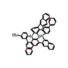 CC(C)(C)c1ccc(N2c3cc(-c4ccccc4)cc4c3B(c3c2ccc2c3oc3cc5ccccc5cc32)N(c2ccc(-c3ccccc3)cc2)c2cc3ccccc3cc2-4)c(-c2ccccc2)c1